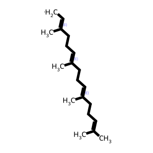 [CH2]/C=C(\C)CC/C=C(\C)CC/C=C(\C)CCC=C(C)C